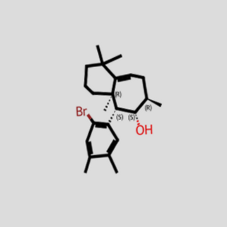 Cc1cc(Br)c([C@H]2[C@@H](O)[C@H](C)CC=C3C(C)(C)CCC[C@@]32C)cc1C